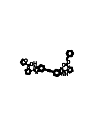 O=C(OCc1ccccc1)N1CCC[C@H]1c1nc2cc(C#Cc3ccc4[nH]c([C@@H]5CCCN5C(=O)[C@H]5CCCO5)nc4c3)ccc2[nH]1